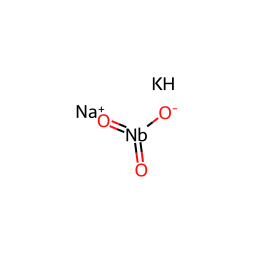 [KH].[Na+].[O]=[Nb](=[O])[O-]